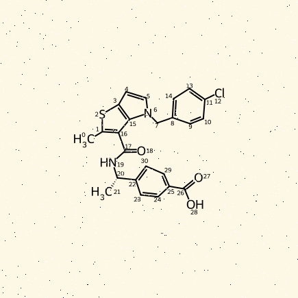 Cc1sc2ccn(Cc3ccc(Cl)cc3)c2c1C(=O)N[C@@H](C)c1ccc(C(=O)O)cc1